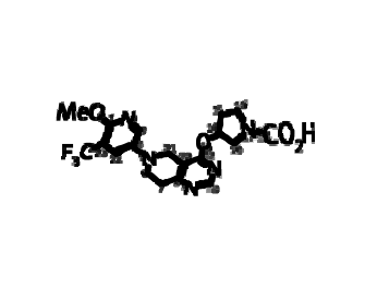 COc1ncc(N2CCc3ncnc(OC4CCN(C(=O)O)C4)c3C2)cc1C(F)(F)F